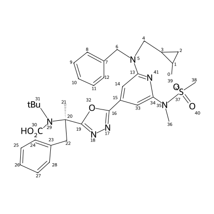 CC1CC1CN(Cc1ccccc1)c1cc(-c2nnc([C@@](C)(Cc3ccccc3)N(C(=O)O)C(C)(C)C)o2)cc(N(C)S(C)(=O)=O)n1